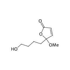 COC1(CCCCO)C=CC(=O)O1